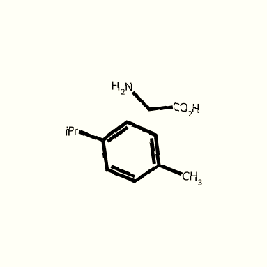 Cc1ccc(C(C)C)cc1.NCC(=O)O